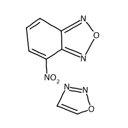 O=[N+]([O-])c1cccc2nonc12.c1conn1